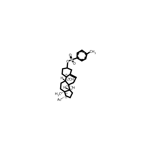 CC(=O)[C@H]1CC[C@H]2[C@@H]3CC=C4CC(OS(=O)(=O)c5ccc(C)cc5)CC[C@]4(C)[C@H]3CC[C@]12C